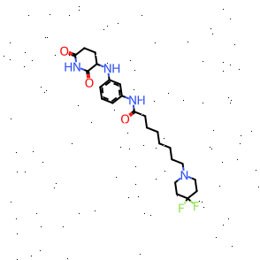 O=C1CCC(Nc2cccc(NC(=O)CCCCCCCN3CCC(F)(F)CC3)c2)C(=O)N1